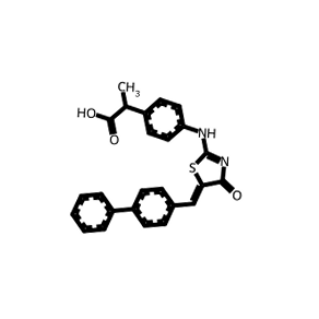 CC(C(=O)O)c1ccc(NC2=NC(=O)C(=Cc3ccc(-c4ccccc4)cc3)S2)cc1